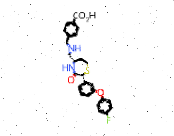 O=C(O)c1ccc(CNC[C@@H]2CCS[C@H](c3cccc(Oc4ccc(F)cc4)c3)C(=O)N2)cc1